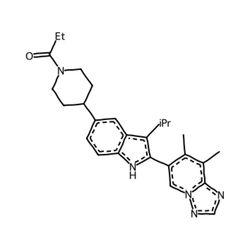 CCC(=O)N1CCC(c2ccc3[nH]c(-c4cn5ncnc5c(C)c4C)c(C(C)C)c3c2)CC1